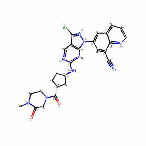 CN1CCN(C(=O)[C@@H]2CC[C@@H](Nc3ncc4c(Br)nn(-c5cc(C#N)c6ncccc6c5)c4n3)C2)CC1=O